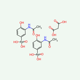 CC(=O)Nc1cc([As](=O)(O)O)ccc1O.CC(=O)Nc1cc([As](=O)(O)O)ccc1O.O=C(O)CC(=O)O